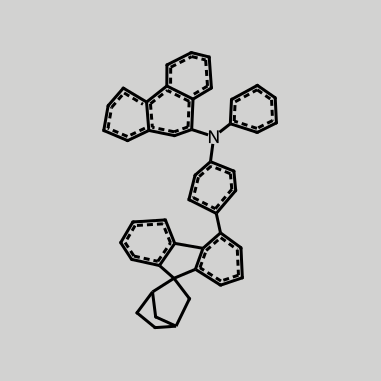 c1ccc(N(c2ccc(-c3cccc4c3-c3ccccc3C43CC4CCC3C4)cc2)c2cc3ccccc3c3ccccc23)cc1